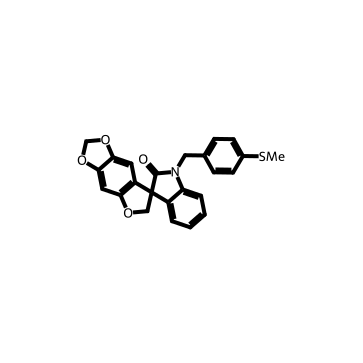 CSc1ccc(CN2C(=O)C3(COc4cc5c(cc43)OCO5)c3ccccc32)cc1